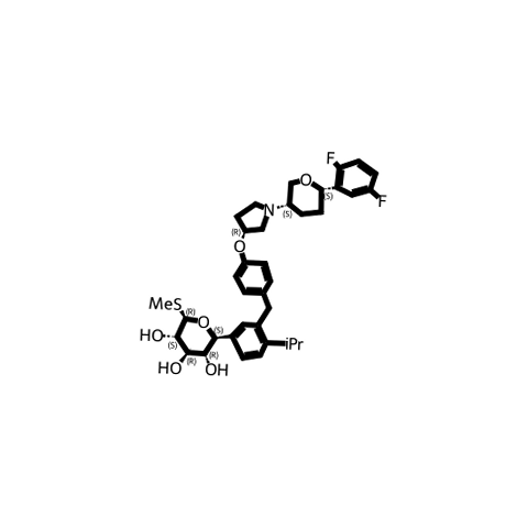 CS[C@H]1O[C@@H](c2ccc(C(C)C)c(Cc3ccc(O[C@@H]4CCN([C@H]5CC[C@@H](c6cc(F)ccc6F)OC5)C4)cc3)c2)[C@H](O)[C@@H](O)[C@@H]1O